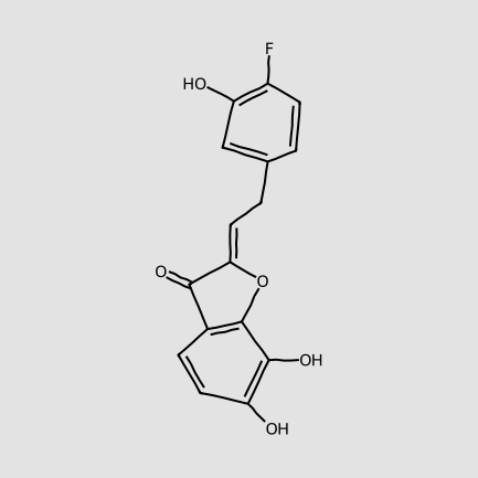 O=C1C(=CCc2ccc(F)c(O)c2)Oc2c1ccc(O)c2O